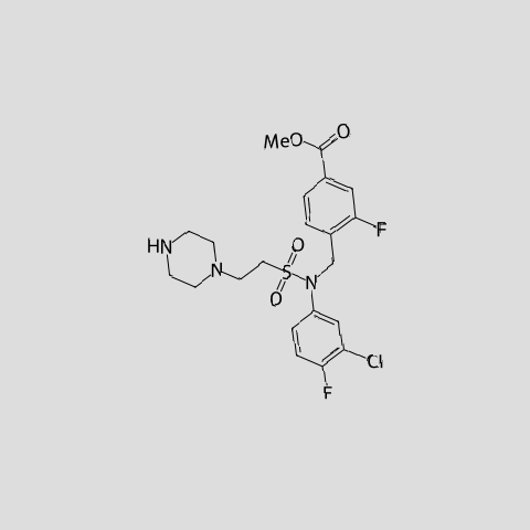 COC(=O)c1ccc(CN(c2ccc(F)c(Cl)c2)S(=O)(=O)CCN2CCNCC2)c(F)c1